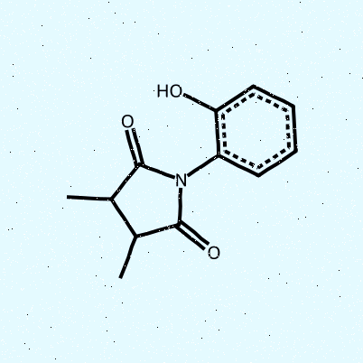 CC1C(=O)N(c2ccccc2O)C(=O)C1C